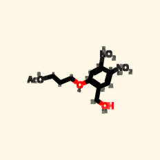 CC(=O)OCCCOc1cc([N+](=O)[O-])c([N+](=O)[O-])cc1CO